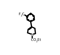 CCOC(=O)N1CC=C(c2cccc(C(F)(F)F)c2)CC1